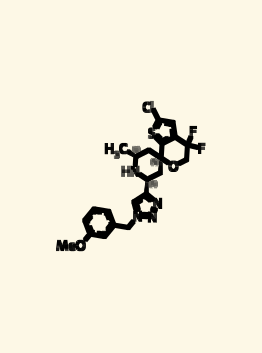 COc1cccc(Cn2cc([C@@H]3C[C@]4(C[C@H](C)N3)OCC(F)(F)c3cc(Cl)sc34)nn2)c1